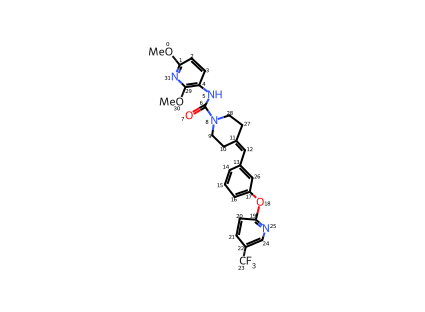 COc1ccc(NC(=O)N2CCC(=Cc3cccc(Oc4ccc(C(F)(F)F)cn4)c3)CC2)c(OC)n1